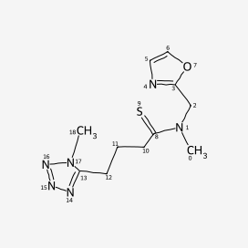 CN(Cc1ncco1)C(=S)CCCc1nnnn1C